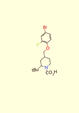 CC(C)(C)C1CC(COc2ccc(Br)cc2F)CCN1C(=O)O